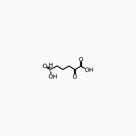 O=C(O)C(=O)CCC[PH](=O)O